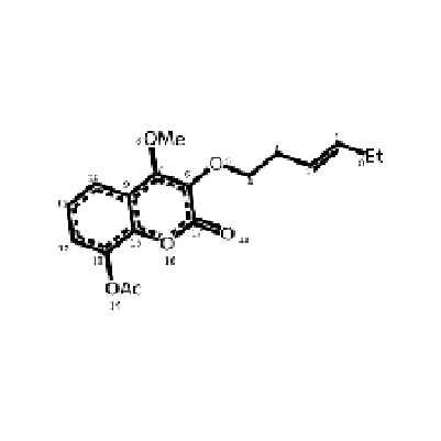 CC/C=C/CCOc1c(OC)c2cccc(OC(C)=O)c2oc1=O